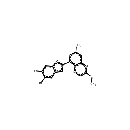 COc1cnc2c(-c3cc4cc(O)c(F)cc4o3)cc(C)cc2n1